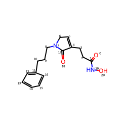 O=C(CCC1=CCN(CCCc2ccccc2)C1=O)NO